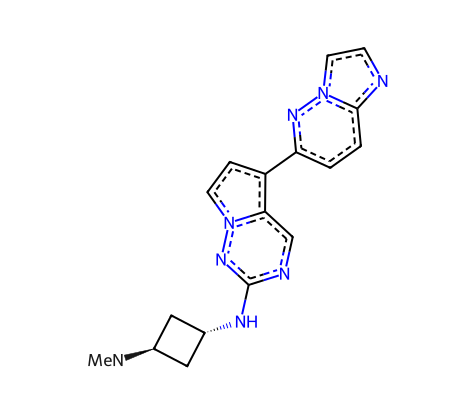 CN[C@H]1C[C@H](Nc2ncc3c(-c4ccc5nccn5n4)ccn3n2)C1